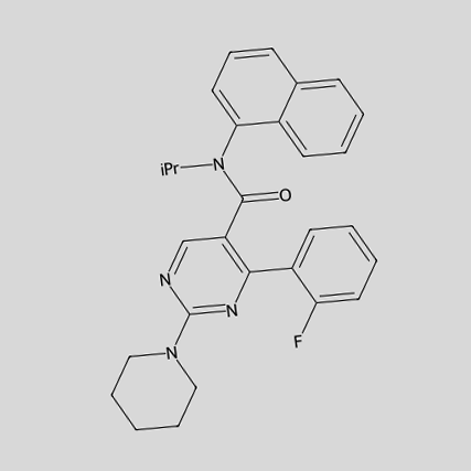 CC(C)N(C(=O)c1cnc(N2CCCCC2)nc1-c1ccccc1F)c1cccc2ccccc12